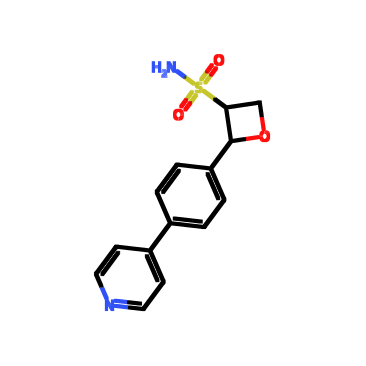 NS(=O)(=O)C1COC1c1ccc(-c2ccncc2)cc1